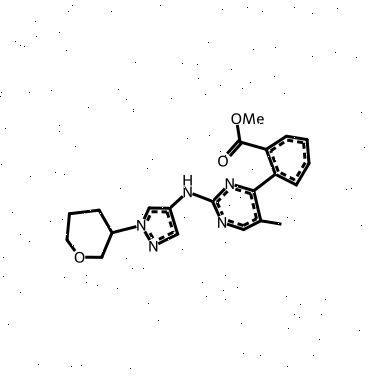 COC(=O)c1ccccc1-c1nc(Nc2cnn(C3CCCOC3)c2)ncc1C